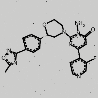 Cc1nc(-c2ccc([C@H]3CN(c4nc(-c5ccncc5F)cc(=O)n4N)CCO3)cc2)no1